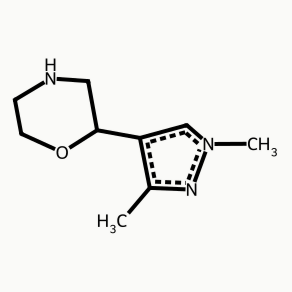 Cc1nn(C)cc1C1CNCCO1